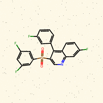 O=S(=O)(c1cc(F)cc(F)c1)c1cnc2cc(F)ccc2c1-c1cccc(F)c1